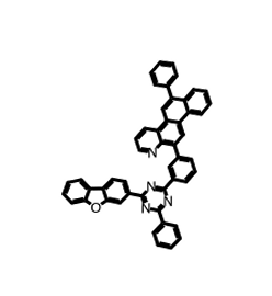 c1ccc(-c2nc(-c3cccc(-c4cc5c6ccccc6c(-c6ccccc6)cc5c5cccnc45)c3)nc(-c3ccc4c(c3)oc3ccccc34)n2)cc1